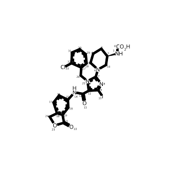 O=C(O)N[C@@H]1CCCN(c2nc(I)c(C(=O)Nc3ccc4c(c3)C(=O)OC4)n2Cc2ccccc2Cl)C1